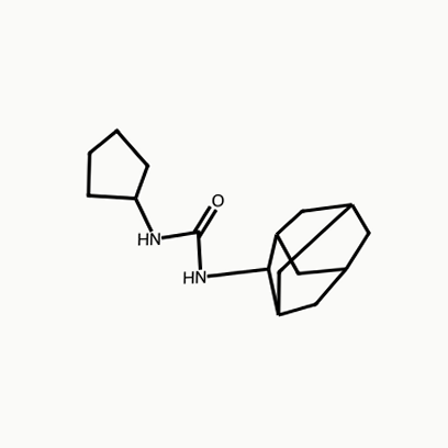 O=C(NC1CCCC1)NC1C2CC3CC(C2)CC1C3